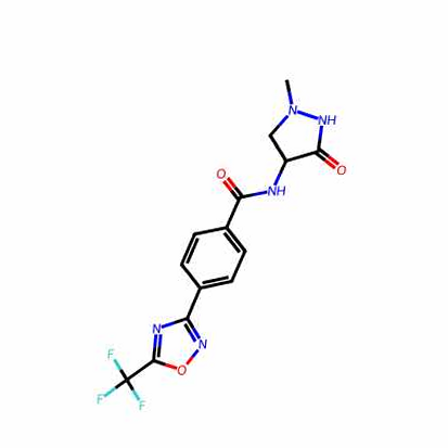 CN1CC(NC(=O)c2ccc(-c3noc(C(F)(F)F)n3)cc2)C(=O)N1